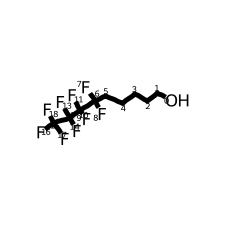 OCCCCCC(F)(F)C(F)(F)C(F)(F)C(F)(F)F